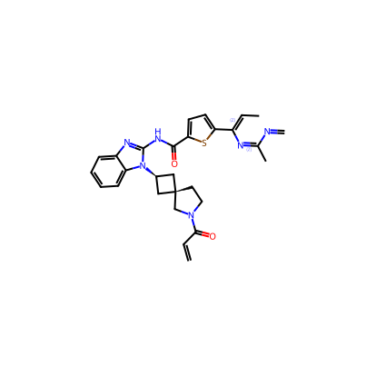 C=CC(=O)N1CC[C@]2(C1)C[C@H](n1c(NC(=O)c3ccc(C(=C/C)/N=C(/C)N=C)s3)nc3ccccc31)C2